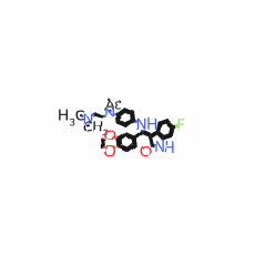 CC(=O)N(CCN(C)C)c1ccc(NC(=C2C(=O)Nc3cc(F)ccc32)c2ccc3c(c2)OC=CO3)cc1